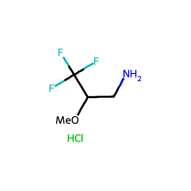 COC(CN)C(F)(F)F.Cl